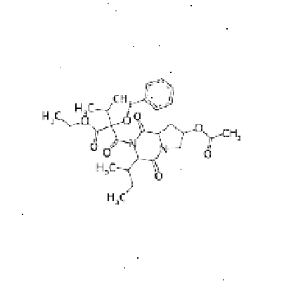 CCOC(=O)C(OCc1ccccc1)(C(=O)N1C(=O)C2CC(OC(C)=O)CN2C(=O)C1C(C)CC)C(C)C